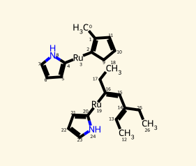 CC1=[C]([Ru][c]2ccc[nH]2)CC=C1.CC=C(C=[C](CC)[Ru][c]1ccc[nH]1)CC